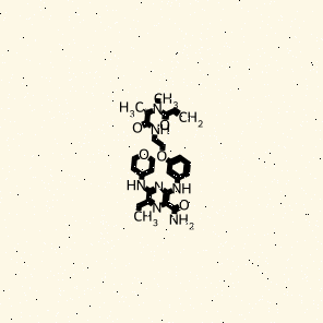 C=CC(=O)N(C)[C@@H](C)C(=O)NCCOc1cccc(Nc2nc(NC3CCOCC3)c(CC)nc2C(N)=O)c1